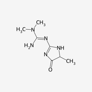 CC1NC(/N=C(\N)N(C)C)=NC1=O